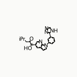 CC(C)CC(=O)[C@H](O)c1cnc2c(ccn2-c2cccc(-c3nnc[nH]3)c2)c1